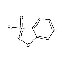 CCS1(=O)=NSc2ccccc21